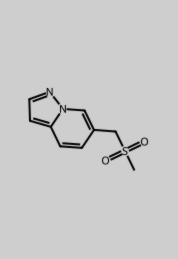 CS(=O)(=O)Cc1ccc2ccnn2c1